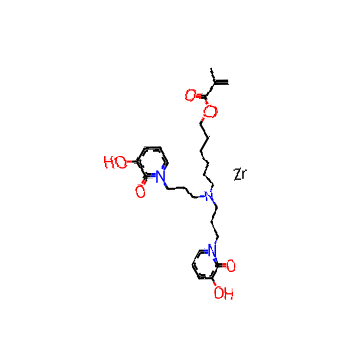 C=C(C)C(=O)OCCCCCCN(CCCn1cccc(O)c1=O)CCCn1cccc(O)c1=O.[Zr]